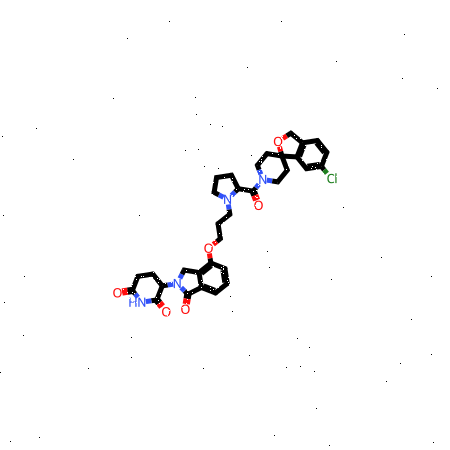 O=C1CCC(N2Cc3c(OCCCN4CCCC4C(=O)N4CCC5(CC4)OCc4ccc(Cl)cc45)cccc3C2=O)C(=O)N1